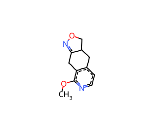 COc1nccc2c1CC1=NOCC1C2